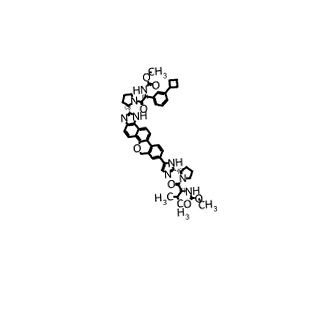 COC(=O)N[C@H](C(=O)N1CCC[C@H]1c1ncc(-c2ccc3c(c2)COc2c-3ccc3c2ccc2nc([C@@H]4CCCN4C(=O)[C@H](NC(=O)OC)c4cccc(C5CCC5)c4)[nH]c23)[nH]1)C(C)C